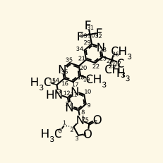 CC[C@H]1COC(=O)N1c1ccnc(N[C@@H](C)c2cc(C)c(-c3cc(C(C)(C)C)nc(C(F)(F)F)c3)cn2)n1